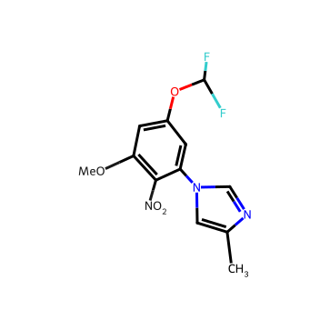 COc1cc(OC(F)F)cc(-n2cnc(C)c2)c1[N+](=O)[O-]